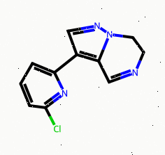 Clc1cccc(-c2cnn3c2C=NCC3)n1